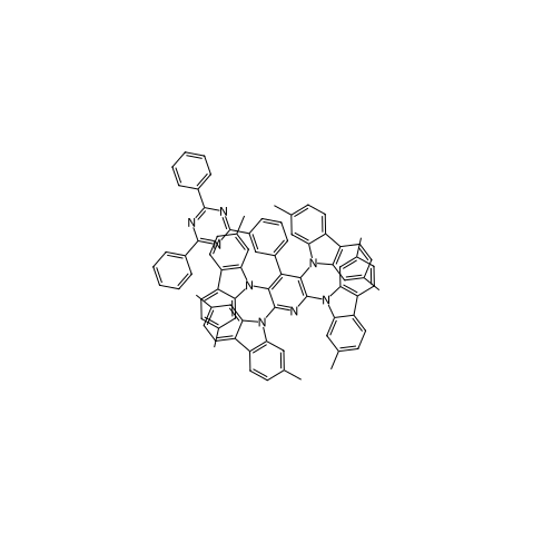 Cc1ccc2c3ccc(C)cc3n(-c3nc(-n4c5cc(C)ccc5c5ccc(C)cc54)c(-n4c5cc(C)ccc5c5ccc(C)cc54)c(-c4cccc(-c5nc(-c6ccccc6)nc(-c6ccccc6)n5)c4)c3-n3c4cc(C)ccc4c4ccc(C)cc43)c2c1